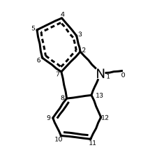 CN1c2ccccc2C2=CC=CCC21